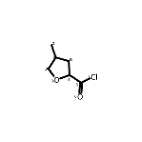 CC1COC(C(=O)Cl)C1